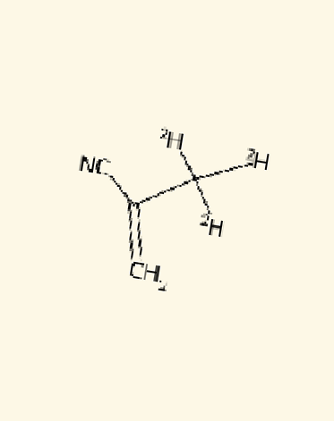 [2H]C([2H])([2H])C(=C)C#N